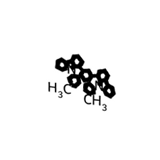 Cc1cccc(-n2c3ccccc3c3cccc(-c4cccc(-c5cccc6c7ccccc7n(-c7cccc(C)c7)c56)c4)c32)c1